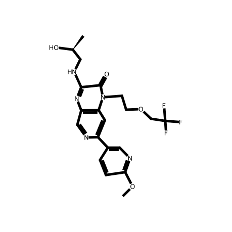 COc1ccc(-c2cc3c(cn2)nc(NC[C@H](C)O)c(=O)n3CCOCC(F)(F)F)cn1